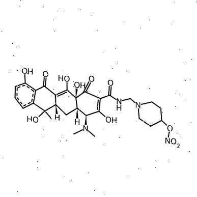 CN(C)[C@@H]1C(O)=C(C(=O)NCN2CCC(O[N+](=O)[O-])CC2)C(=O)[C@@]2(O)C(O)=C3C(=O)c4c(O)cccc4C(C)(O)[C@H]3C[C@@H]12